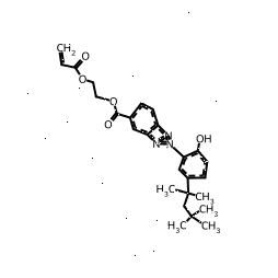 C=CC(=O)OCCOC(=O)c1ccc2c(c1)n1n(-c3cc(C(C)(C)CC(C)(C)C)ccc3O)n21